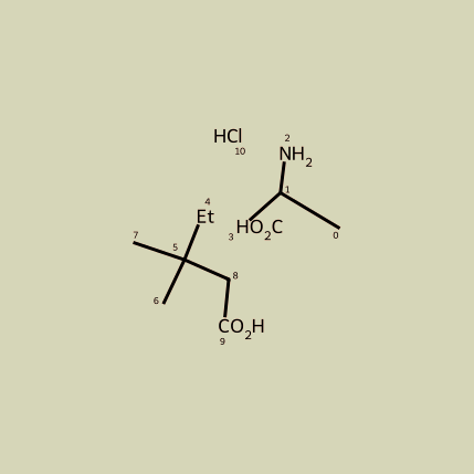 CC(N)C(=O)O.CCC(C)(C)CC(=O)O.Cl